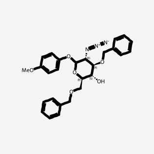 COc1ccc(OC2O[C@H](COCc3ccccc3)[C@@H](O)[C@H](OCc3ccccc3)[C@H]2N=[N+]=[N-])cc1